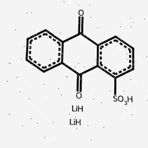 O=C1c2ccccc2C(=O)c2c1cccc2S(=O)(=O)O.[LiH].[LiH]